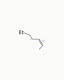 [CH2]CC[CH]/C=C\C